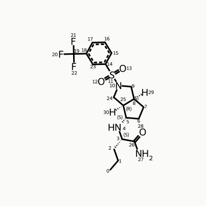 CCC[C@H](N[C@H]1CC[C@@H]2CN(S(=O)(=O)c3cccc(C(F)(F)F)c3)C[C@@H]21)C(N)=O